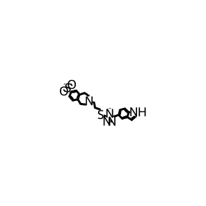 Cn1c(SCCCN2CCc3ccc(S(C)(=O)=O)cc3CC2)nnc1-c1ccc2[nH]ccc2c1